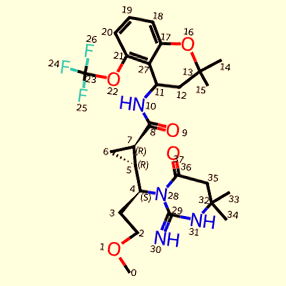 COCC[C@@H]([C@@H]1C[C@H]1C(=O)NC1CC(C)(C)Oc2cccc(OC(F)(F)F)c21)N1C(=N)NC(C)(C)CC1=O